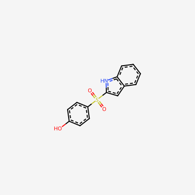 O=S(=O)(c1ccc(O)cc1)c1cc2ccccc2[nH]1